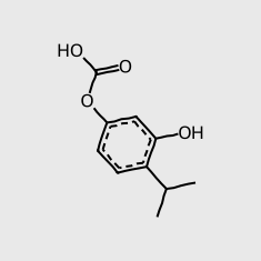 CC(C)c1ccc(OC(=O)O)cc1O